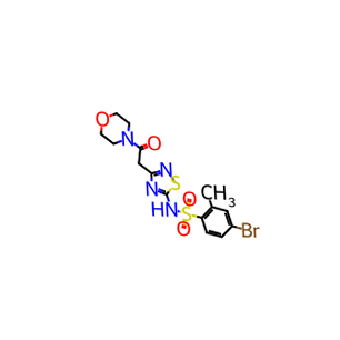 Cc1cc(Br)ccc1S(=O)(=O)Nc1nc(CC(=O)N2CCOCC2)ns1